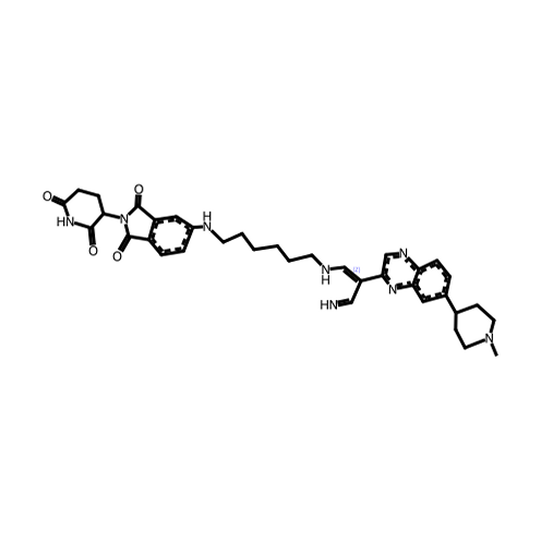 CN1CCC(c2ccc3ncc(/C(C=N)=C/NCCCCCCNc4ccc5c(c4)C(=O)N(C4CCC(=O)NC4=O)C5=O)nc3c2)CC1